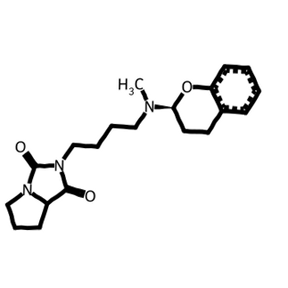 CN(CCCCN1C(=O)C2CCCN2C1=O)[C@@H]1CCc2ccccc2O1